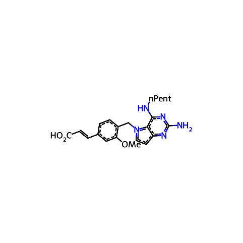 CCCCCNc1nc(N)nc2ccn(Cc3ccc(/C=C/C(=O)O)cc3OC)c12